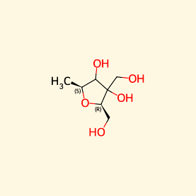 C[C@@H]1O[C@H](CO)C(O)(CO)C1O